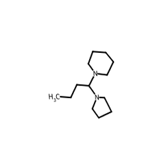 CCC[C](N1CCCCC1)N1CCCC1